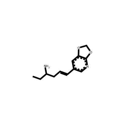 CCC(N)CC=Cc1cnc2c(c1)OCO2